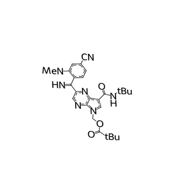 CNc1cc(C#N)ccc1C(=N)c1cnc2c(n1)c(C(=O)NC(C)(C)C)cn2COC(=O)C(C)(C)C